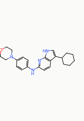 c1cc(N2CCOCC2)ccc1Nc1ccc2c(C3CCCCC3)c[nH]c2n1